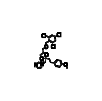 COc1ccc(CCC2(Cn3ccnc3)OCC(COCc3c(Cl)cc(Cl)cc3Cl)O2)cc1